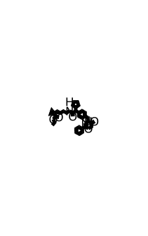 CCOC(=O)C1(C=CCCNC(=O)C(c2ccc(CN3N=C(c4ccccc4)OCC3=O)cc2)C2CCCC2)CC1